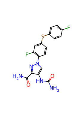 NC(=O)Nc1cn(-c2ccc(Sc3ccc(F)cc3)cc2F)nc1C(N)=O